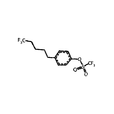 O=S(=O)(Oc1ccc(CCCCC(F)(F)F)cc1)C(F)(F)F